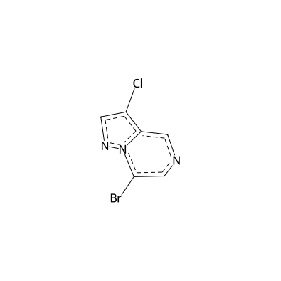 Clc1cnn2c(Br)cncc12